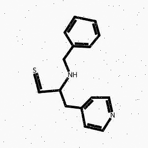 S=[C]C(Cc1ccncc1)NCc1ccccc1